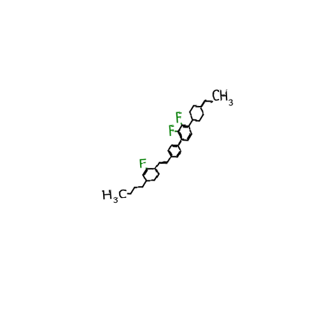 CCCCC1C=C(F)C(/C=C/c2ccc(-c3ccc(C4CCC(CCC)CC4)c(F)c3F)cc2)CC1